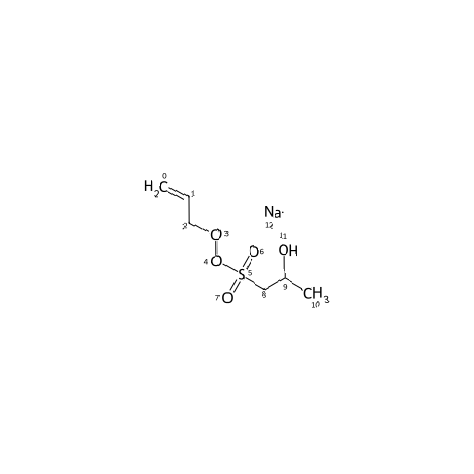 C=CCOOS(=O)(=O)CC(C)O.[Na]